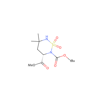 COC(=O)[C@@H]1CC(C)(C)NS(=O)(=O)N1C(=O)OC(C)(C)C